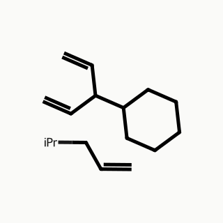 C=CC(C=C)C1CCCCC1.C=CCC(C)C